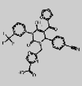 CC1=C(C(=O)c2ccco2)C(c2ccc(C#N)cc2)N(Cc2nc(C(=O)O)co2)C(=O)N1c1cccc(C(F)(F)F)c1